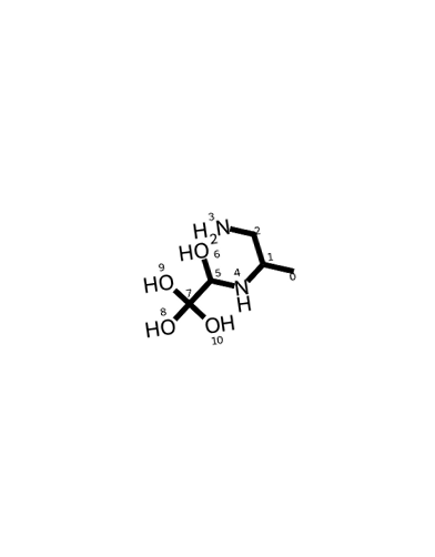 CC(CN)NC(O)C(O)(O)O